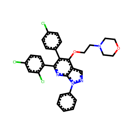 Clc1ccc(-c2c(-c3ccc(Cl)cc3Cl)nc3c(cnn3-c3ccccc3)c2OCCN2CCOCC2)cc1